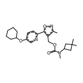 Cc1noc(-c2ccc(OC3CCCCC3)cn2)c1COC(=O)N(C)C1CC(C)(C)C1